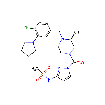 C[C@H]1CN(C(=O)n2ccc(NS(C)(=O)=O)n2)CCN1Cc1ccc(Cl)c(N2CCCC2)c1